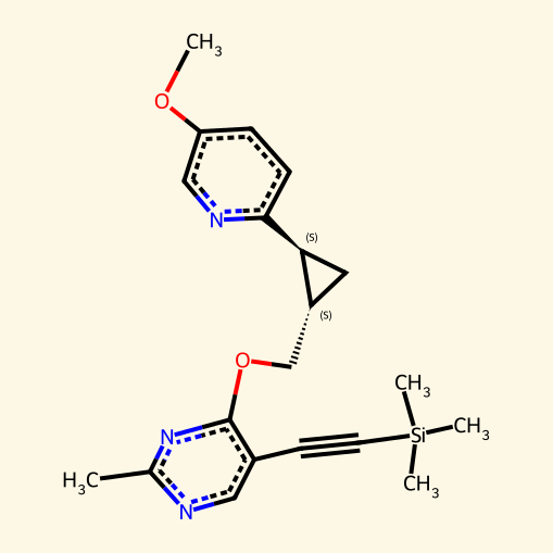 COc1ccc([C@H]2C[C@@H]2COc2nc(C)ncc2C#C[Si](C)(C)C)nc1